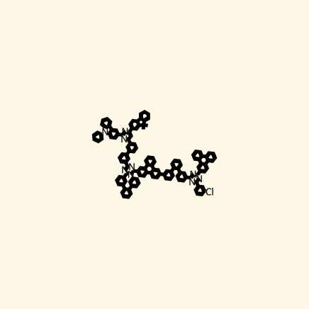 CC1(C)C2=CCCC=C2C2CC=C(c3cc(-c4cccc(-c5cccc(-c6nc(-c7cccc(-c8ccccc8-c8ccccc8)c7)nc(-c7ccc8c9ccc(-c%10cccc(-c%11ccccc%11-c%11cccc(-c%12nc(-c%13cccc(Cl)c%13)nc(-c%13ccc%14c%15ccccc%15c%15ccccc%15c%14c%13)n%12)c%11)c%10)cc9c9ccccc9c8c7)n6)c5)c4)nc(-c4ccc5c(c4)c4ccccc4n5-c4ccccc4)n3)C=C21